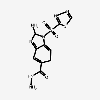 NNC(=O)C1=CC2=NC(N)N(S(=O)(=O)c3nncs3)C2=CC1